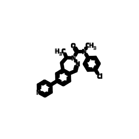 CC1Cc2cc(-c3ccncc3)ccc2C=NN1C(=O)N(C)c1ccc(Cl)cc1